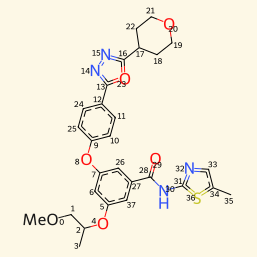 COCC(C)Oc1cc(Oc2ccc(-c3nnc(C4CCOCC4)o3)cc2)cc(C(=O)Nc2ncc(C)s2)c1